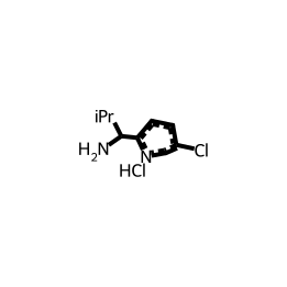 CC(C)C(N)c1ccc(Cl)cn1.Cl